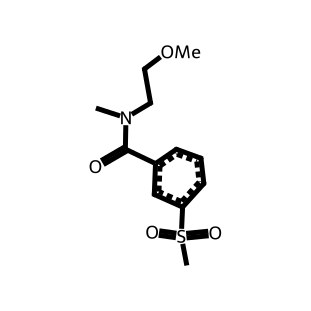 COCCN(C)C(=O)c1cccc(S(C)(=O)=O)c1